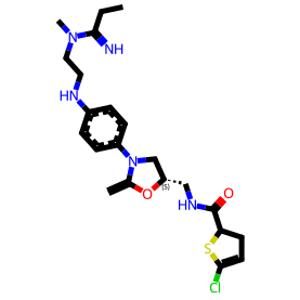 C=C1O[C@@H](CNC(=O)C2CC=C(Cl)S2)CN1c1ccc(NCCN(C)C(=N)CC)cc1